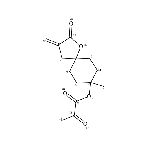 C=C1CC2(CCC(C)(OC(=O)C(C)=O)CC2)OC1=O